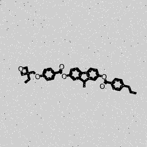 CCCc1ccc(C(=O)Oc2ccc3c(c2)C(C)c2cc(OC(=O)c4ccc(OCC5(CC)COC5)cc4)ccc2-3)cc1